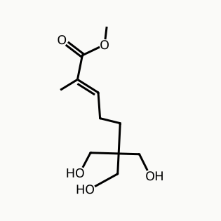 COC(=O)C(C)=CCCC(CO)(CO)CO